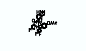 COc1ccc(C2(C(=O)N3C[C@H](F)C[C@@H]3C(=O)Nc3ccc4[nH]ncc4n3)CC(F)(F)C2)cc1